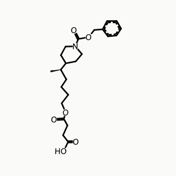 C[C@H](CCCCOC(=O)CCC(=O)O)C1CCN(C(=O)OCc2ccccc2)CC1